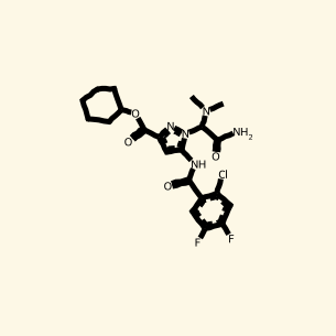 CN(C)C(C(N)=O)n1nc(C(=O)OC2CCCCC2)cc1NC(=O)c1cc(F)c(F)cc1Cl